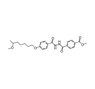 COC(=O)c1ccc(C(=O)NNC(=O)c2ccc(OCCCCCC(C)OC)cc2)cc1